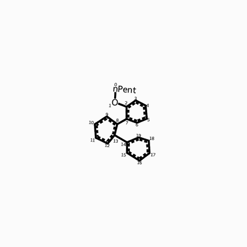 CCCCCOc1ccccc1-c1ccccc1-c1ccccc1